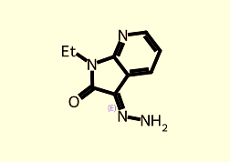 CCN1C(=O)/C(=N/N)c2cccnc21